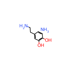 N.NCCc1ccc(O)c(O)c1